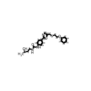 CN(C)CCNC(=O)Nc1ccc(-c2nnc(CSCCOc3ccccc3)o2)cc1